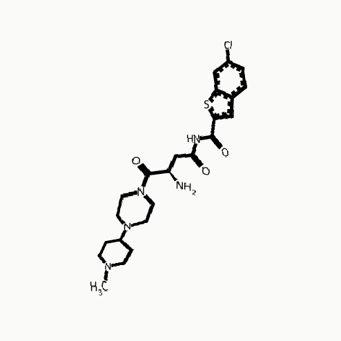 CN1CCC(N2CCN(C(=O)[C@H](N)CC(=O)NC(=O)c3cc4ccc(Cl)cc4s3)CC2)CC1